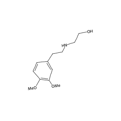 COc1ccc(CCNCCO)cc1OC